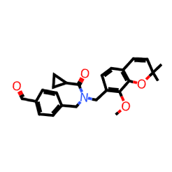 COc1c(CN(Cc2ccc(C=O)cc2)C(=O)C2CC2)ccc2c1OC(C)(C)C=C2